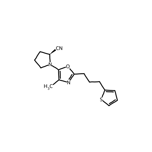 Cc1nc(CCCc2cccs2)oc1N1CCC[C@H]1C#N